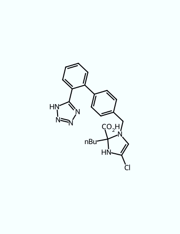 CCCCC1(C(=O)O)NC(Cl)=CN1Cc1ccc(-c2ccccc2-c2nnn[nH]2)cc1